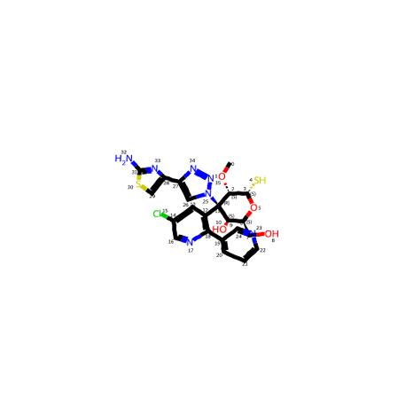 CO[C@@H]1[C@H](S)O[C@@H](CO)[C@@H](O)[C@@]1(c1cc(Cl)cnc1-c1cccnc1)n1cc(-c2csc(N)n2)nn1